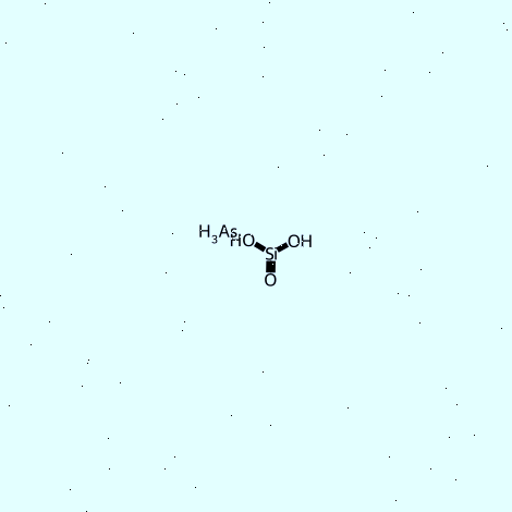 O=[Si](O)O.[AsH3]